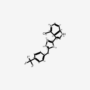 FC(F)(F)c1ccc(Cc2nnc(-c3c[nH]c4ccnc(Cl)c34)s2)cc1